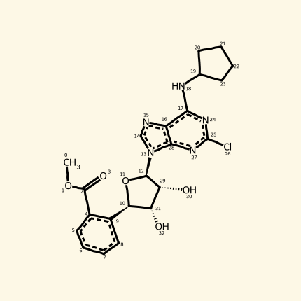 COC(=O)c1ccccc1[C@H]1O[C@@H](n2cnc3c(NC4CCCC4)nc(Cl)nc32)[C@H](O)[C@@H]1O